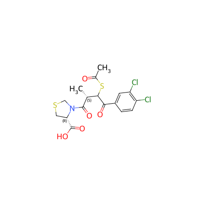 CC(=O)SC(C(=O)c1ccc(Cl)c(Cl)c1)[C@@H](C)C(=O)N1CSC[C@H]1C(=O)O